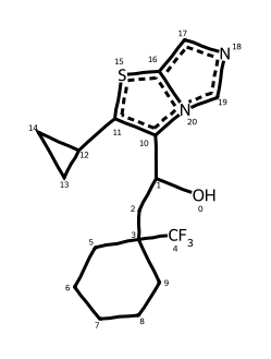 OC(CC1(C(F)(F)F)CCCCC1)c1c(C2CC2)sc2cncn12